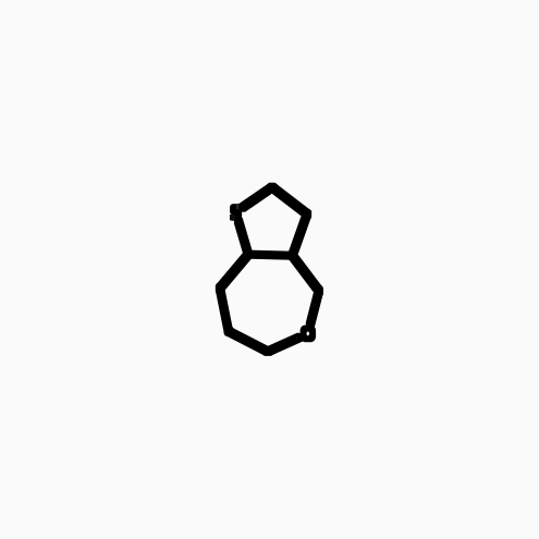 C1COCC2CCSC2C1